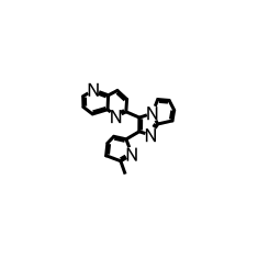 Cc1cccc(-c2nc3ccccn3c2-c2ccc3ncccc3n2)n1